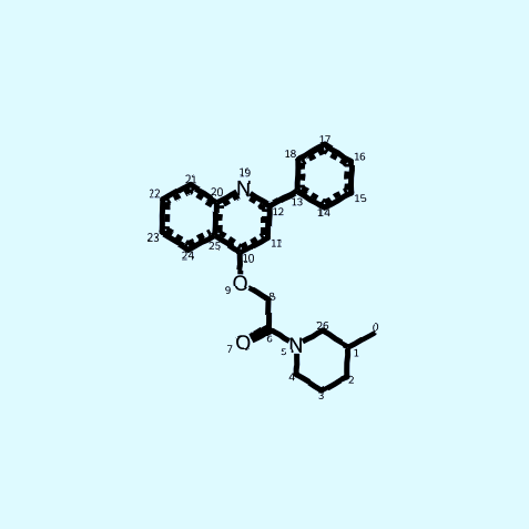 CC1CCCN(C(=O)COc2cc(-c3ccccc3)nc3ccccc23)C1